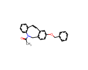 CC(=O)N1Cc2ccc(OCc3ccccc3)cc2/C=C\c2ccccc21